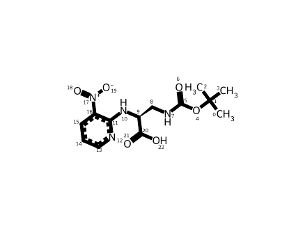 CC(C)(C)OC(=O)NC[C@H](Nc1ncccc1[N+](=O)[O-])C(=O)O